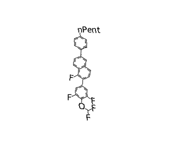 CCCCCc1ccc(-c2ccc3c(F)c(-c4cc(F)c(OC(F)F)c(F)c4)ccc3c2)cc1